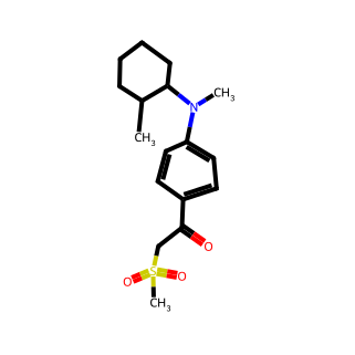 CC1CCCCC1N(C)c1ccc(C(=O)CS(C)(=O)=O)cc1